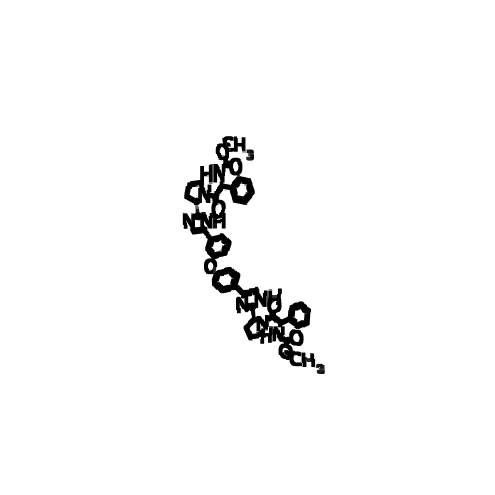 COC(=O)N[C@@H](C(=O)N1CCC[C@H]1c1nc(-c2ccc(Oc3cccc(-c4cnc([C@@H]5CCCN5C(=O)[C@H](NC(=O)OC)c5ccccc5)[nH]4)c3)cc2)c[nH]1)c1ccccc1